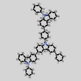 c1ccc(-c2ccc3c(c2)c2cc(-c4ccc5c(c4)c4ccccc4n5-c4ccccc4)ccc2n3-c2ccc(-c3ccc4c(c3)c3ccccc3n4-c3ccccc3)cc2)cc1